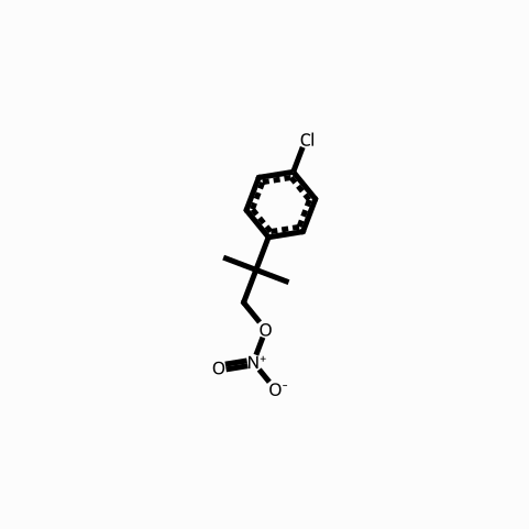 CC(C)(CO[N+](=O)[O-])c1ccc(Cl)cc1